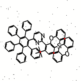 CC(C)(C)c1ccc2c(c1-c1nccc(-c3c(-c4ccccc4)c(-c4ccccc4)c(-c4ccccc4)c(-c4ccccc4)c3-c3ccccc3)n1)Oc1ccccc1[Si]21c2ccccc2Oc2ccccc21